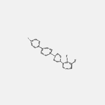 Cc1ccc(-c2ccc(-c3ccc(-c4cccc(F)c4F)cc3)cc2)cc1